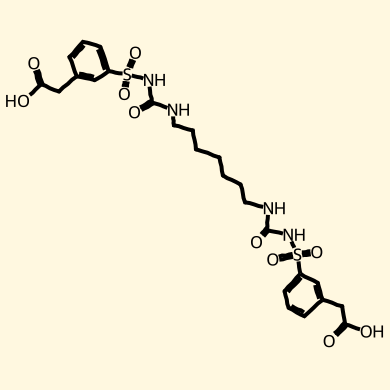 O=C(O)Cc1cccc(S(=O)(=O)NC(=O)NCCCCCCCNC(=O)NS(=O)(=O)c2cccc(CC(=O)O)c2)c1